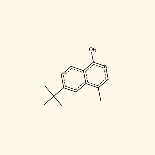 Cc1cnc(O)c2ccc(C(C)(C)C)cc12